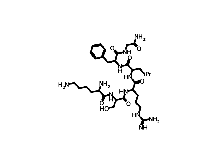 CC(C)CC(NC(=O)C(CCCNC(=N)N)NC(=O)C(CO)NC(=O)C(N)CCCCN)C(=O)NC(Cc1ccccc1)C(=O)NCC(N)=O